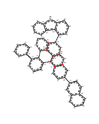 c1ccc(-c2ccccc2-c2c(-c3ccccc3)cccc2N(c2ccc(-c3ccc4ccccc4c3)cc2)c2ccc(-c3cccc4sc5ccccc5c34)cc2)cc1